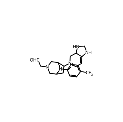 O=CCN1CC2CC(N3CC=C4NCNC4C3)C(C1)N2c1ccc(C(F)(F)F)cn1